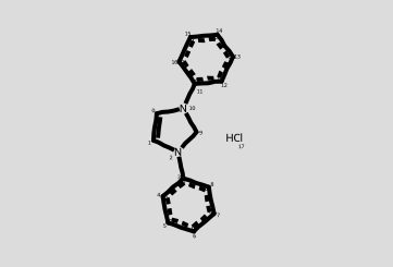 C1=CN(c2ccccc2)CN1c1ccccc1.Cl